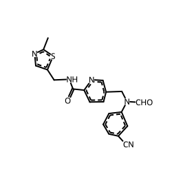 Cc1ncc(CNC(=O)c2ccc(CN(C=O)c3cccc(C#N)c3)cn2)s1